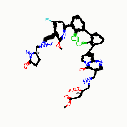 COC(=O)C[C@@H](O)CNCc1cnc2cc(-c3cccc(-c4cccc(-c5cc(F)c(CNC[C@H]6CCC(=O)N6)c(OC)n5)c4Cl)c3Cl)ccn2c1=O